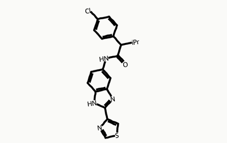 CC(C)C(C(=O)Nc1ccc2[nH]c(-c3cscn3)nc2c1)c1ccc(Cl)cc1